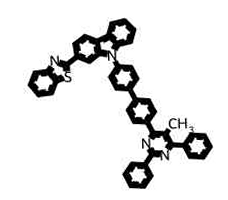 Cc1c(-c2ccccc2)nc(-c2ccccc2)nc1-c1ccc(-c2ccc(-n3c4ccccc4c4ccc(-c5nc6ccccc6s5)cc43)cc2)cc1